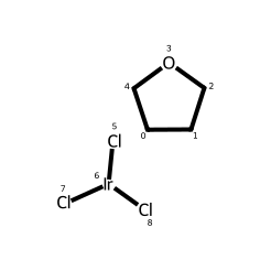 C1CCOC1.[Cl][Ir]([Cl])[Cl]